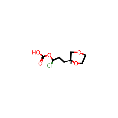 O=C(O)OC(Cl)CC[C@H]1COCCO1